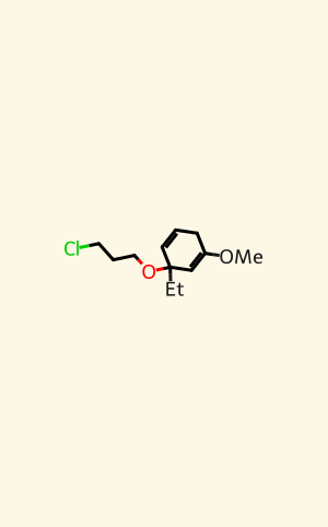 CCC1(OCCCCl)C=CCC(OC)=C1